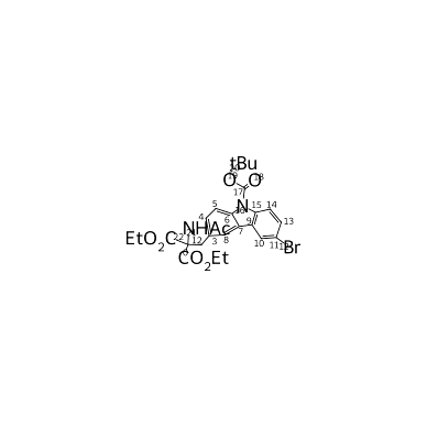 CCOC(=O)C(Cc1ccc2c(c1)c1cc(Br)ccc1n2C(=O)OC(C)(C)C)(NC(C)=O)C(=O)OCC